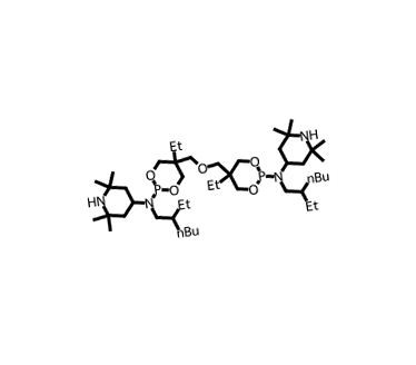 CCCCC(CC)CN(C1CC(C)(C)NC(C)(C)C1)P1OCC(CC)(COCC2(CC)COP(N(CC(CC)CCCC)C3CC(C)(C)NC(C)(C)C3)OC2)CO1